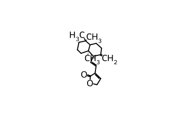 C=C1CCC2C(C)(C)CCC[C@]2(C)C1/C=C/C1=CCOC1=O